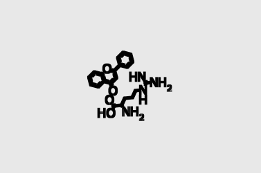 N=C(N)NCCCC(N)C(=O)O.O=c1cc(-c2ccccc2)oc2ccccc12